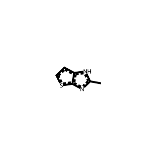 Cc1nc2sccc2[nH]1